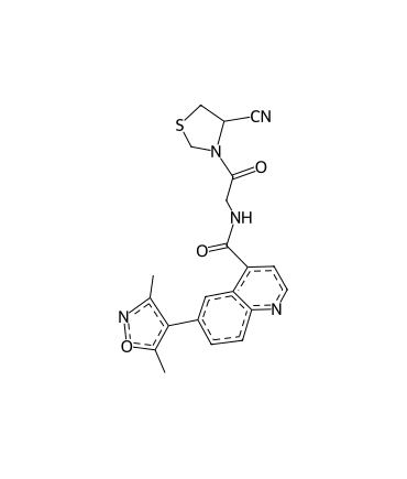 Cc1noc(C)c1-c1ccc2nccc(C(=O)NCC(=O)N3CSCC3C#N)c2c1